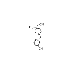 CC1(CC#N)CCN(Cc2cccc(C#N)c2)CC1